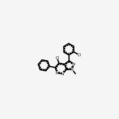 Cn1nc(-c2ccccc2Cl)c2c(Cl)c(-c3ccccc3)nnc21